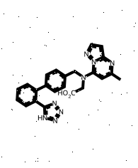 Cc1cc(N(CC(=O)O)Cc2ccc(-c3ccccc3-c3nnn[nH]3)cc2)n2nccc2n1